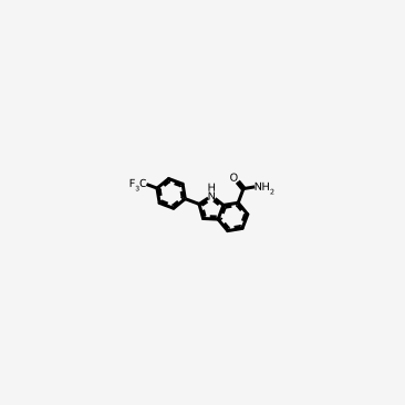 NC(=O)c1cccc2cc(-c3ccc(C(F)(F)F)cc3)[nH]c12